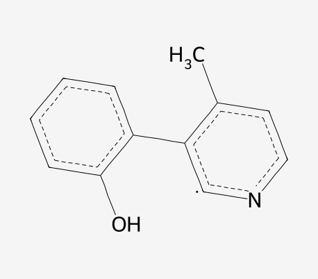 Cc1ccn[c]c1-c1ccccc1O